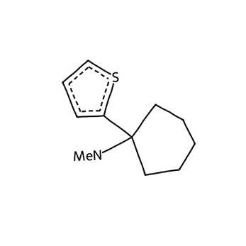 CNC1(c2cccs2)CCCCC1